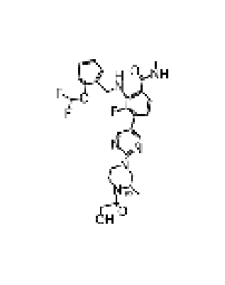 CNC(=O)c1ccc(-c2cnc(N3CCN(C(=O)CO)[C@H](C)C3)nc2)c(F)c1NCc1ccccc1OC(F)F